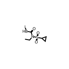 CCN(C(=O)BI)S(=O)(=O)C1CC1